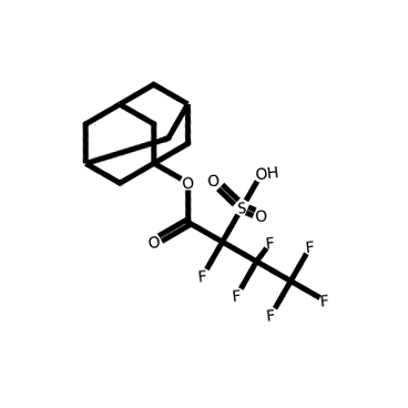 O=C(OC12CC3CC(CC(C3)C1)C2)C(F)(C(F)(F)C(F)(F)F)S(=O)(=O)O